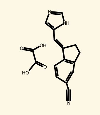 N#Cc1ccc2c(c1)CCC2=Cc1cnc[nH]1.O=C(O)C(=O)O